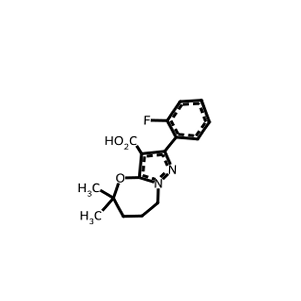 CC1(C)CCCn2nc(-c3ccccc3F)c(C(=O)O)c2O1